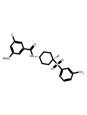 COc1cc(F)cc(C(=O)N[C@H]2CC[C@](F)(S(=O)(=O)c3cccc(C)c3)CC2)c1